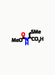 COC(=O)N[C@@H](CSC)C(=O)O